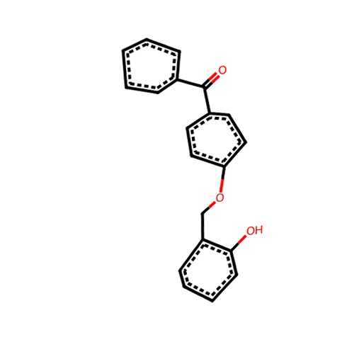 O=C(c1ccccc1)c1ccc(OCc2ccccc2O)cc1